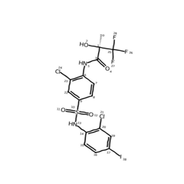 C[C@@](O)(C(=O)Nc1ccc(S(=O)(=O)Nc2ccc(I)cc2Cl)cc1Cl)C(F)(F)F